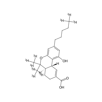 [2H]C([2H])([2H])CCCCc1cc(O)c2c(c1)OC(C([2H])([2H])[2H])(C([2H])([2H])[2H])[C@@H]1CCC(C(=O)O)=C[C@@H]21